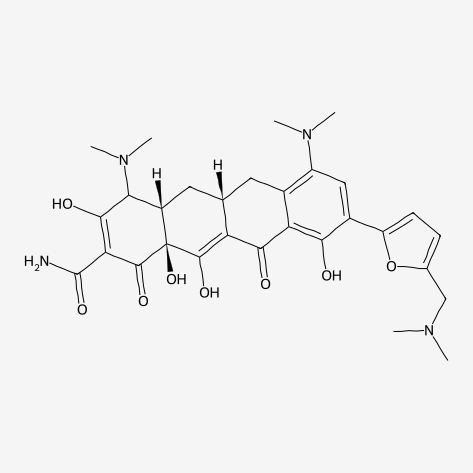 CN(C)Cc1ccc(-c2cc(N(C)C)c3c(c2O)C(=O)C2=C(O)[C@]4(O)C(=O)C(C(N)=O)=C(O)C(N(C)C)[C@@H]4C[C@@H]2C3)o1